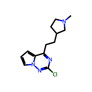 CN1CCC(CCc2nc(Cl)nn3cccc23)C1